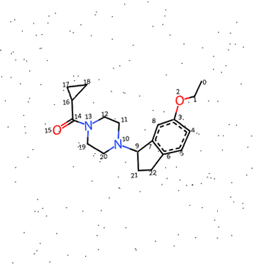 CCOc1ccc2c(c1)C(N1CCN(C(=O)C3CC3)CC1)CC2